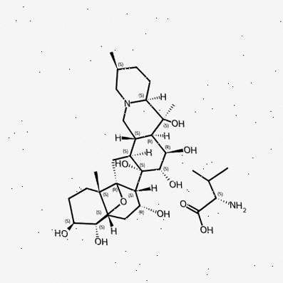 CC(C)[C@H](N)C(=O)O.C[C@H]1CC[C@@H]2N(C1)C[C@@H]1[C@H]([C@@H](O)[C@H](O)[C@]3(O)[C@H]1C[C@@]14O[C@@]5(O)[C@@H](C[C@@H](O)[C@@H]31)[C@]4(C)CC[C@@H]5O)[C@]2(C)O